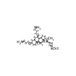 CCCCCCCCNCCC[C@@H](C)C1CCC2C3C(OCCCN)CC4C[C@H](OCCCN)CCC4(C)C3CCC21C